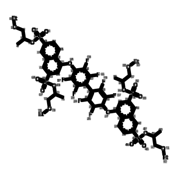 CCOCC(C)OS(=O)(=O)c1ccc2c(Oc3c(F)c(F)c(C4=C(F)C(F)C(Oc5cc(S(=O)(=O)OC(C)COCC)cc6cc(S(=O)(=O)OC(C)COCC)ccc56)C(F)=C4F)c(F)c3F)cc(S(=O)(=O)OC(C)COCC)cc2c1